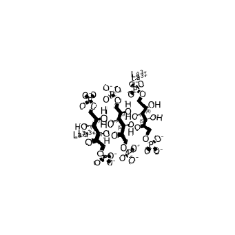 O=C(COP(=O)([O-])[O-])[C@@H](O)[C@H](O)[C@H](O)COP(=O)([O-])[O-].O=C(COP(=O)([O-])[O-])[C@@H](O)[C@H](O)[C@H](O)COP(=O)([O-])[O-].O=C(COP(=O)([O-])[O-])[C@@H](O)[C@H](O)[C@H](O)COP(=O)([O-])[O-].[La+3].[La+3].[La+3].[La+3]